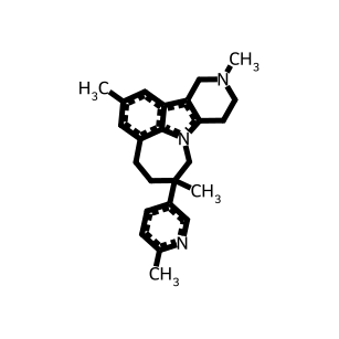 Cc1cc2c3c(c1)c1c(n3CC(C)(c3ccc(C)nc3)CC2)CCN(C)C1